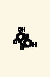 O=c1cc(O)cc2n1C[C@@H]1CNC[C@H]2C1